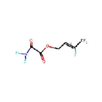 O=C(OC/C=C(\F)C(F)(F)F)C(=O)N(F)F